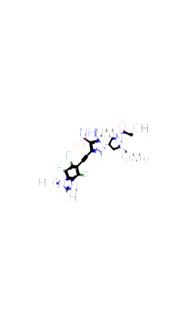 C=CC(=O)N1C[C@@H](n2nc(C#Cc3c(F)c(F)c4c(nc(C)n4C)c3F)c(C(N)=O)c2NC)C[C@@H]1COC